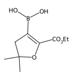 CCOC(=O)C1=C(B(O)O)CC(C)(C)O1